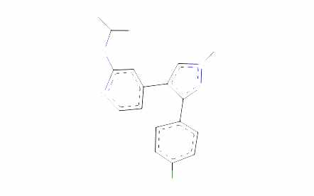 CC(Nc1cc(-c2cn(C)nc2-c2ccc(F)cc2)ccn1)C(F)(F)F